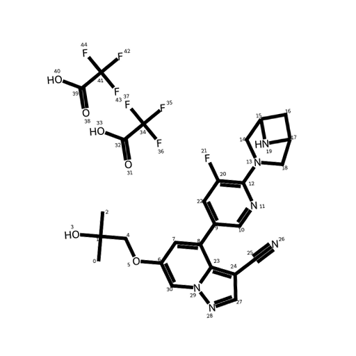 CC(C)(O)COc1cc(-c2cnc(N3CC4CC(C3)N4)c(F)c2)c2c(C#N)cnn2c1.O=C(O)C(F)(F)F.O=C(O)C(F)(F)F